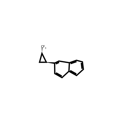 FC(F)(F)[C@H]1C[C@@H]1c1ccc2ccccc2c1